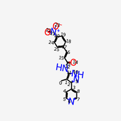 Cc1c(-c2ccncc2)n[nH]c1NC(=O)C=Cc1ccc([N+](=O)[O-])cc1